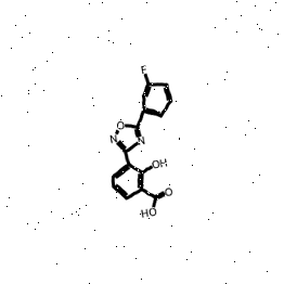 O=C(O)c1cccc(-c2noc(-c3cccc(F)c3)n2)c1O